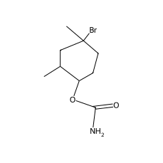 CC1CC(C)(Br)CCC1OC(N)=O